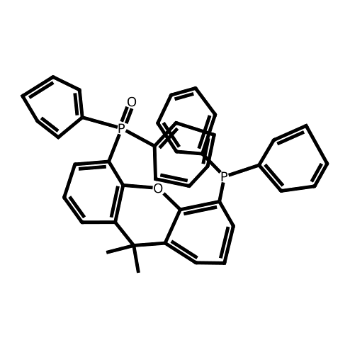 CC1(C)c2cccc(P(c3ccccc3)c3ccccc3)c2Oc2c1cccc2P(=O)(c1ccccc1)c1ccccc1